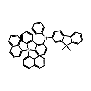 CC1(C)c2ccccc2-c2ccc(N(c3ccccc3)c3cccc4c3-c3ccc#cc3S4(C3=CC=CC4=CC=CCC43)c3cccc4ccccc34)cc21